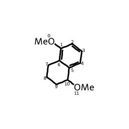 COc1cccc2c1CCCC2OC